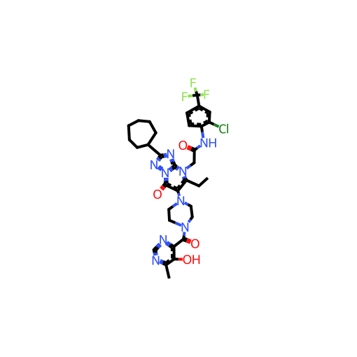 CCc1c(N2CCN(C(=O)c3ncnc(C)c3O)CC2)c(=O)n2nc(C3CCCCCC3)nc2n1CC(=O)Nc1ccc(C(F)(F)F)cc1Cl